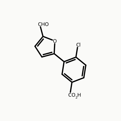 O=Cc1ccc(-c2cc(C(=O)O)ccc2Cl)o1